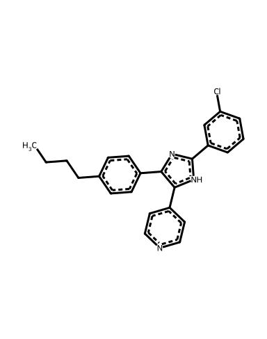 CCCCc1ccc(-c2nc(-c3cccc(Cl)c3)[nH]c2-c2ccncc2)cc1